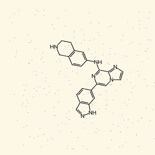 c1cn2cc(-c3ccc4cn[nH]c4c3)nc(Nc3ccc4c(c3)CCNC4)c2n1